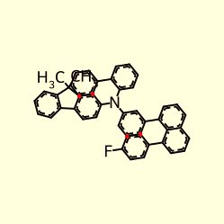 CC1(C)c2ccccc2-c2ccc(N(c3cccc(-c4cccc5cccc(-c6ccc(F)cc6)c45)c3)c3ccccc3-c3ccccc3)cc21